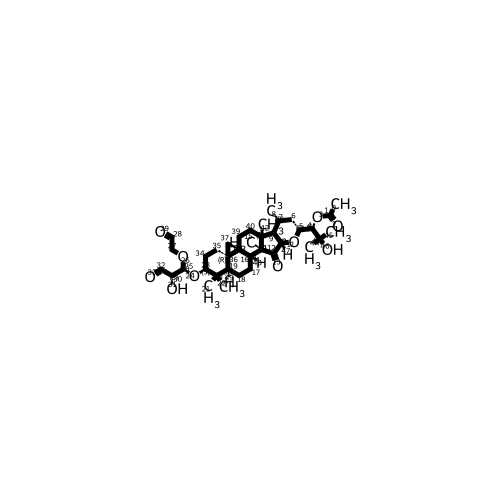 CC(=O)O[C@@H]([C@H]1C[C@@H](C)C2[C@H](O1)C(=O)[C@@]1(C)[C@@H]3CC[C@H]4C(C)(C)[C@@H](O[C@H](OCC=O)[C@H](O)C=O)CC[C@@]45C[C@@]35CC[C@]21C)C(C)(C)O